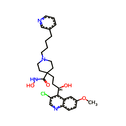 COc1ccc2ncc(Cl)c([C@H](O)CCC3(C(=O)NO)CCN(CCCCc4cccnc4)CC3)c2c1